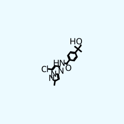 Cc1cc2nc(NC(=O)c3ccc(C(C)(C)CO)cc3)cc(Cl)n2n1